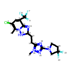 CC1=C(Cl)C=C(C(F)(F)F)C2=NC(CCc3nc(N4CCC(F)(F)C4)nn3C)NN21